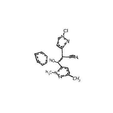 Cc1cc(C(O)=C(C#N)c2ccn(Cl)n2)n(C)n1.c1ccccc1